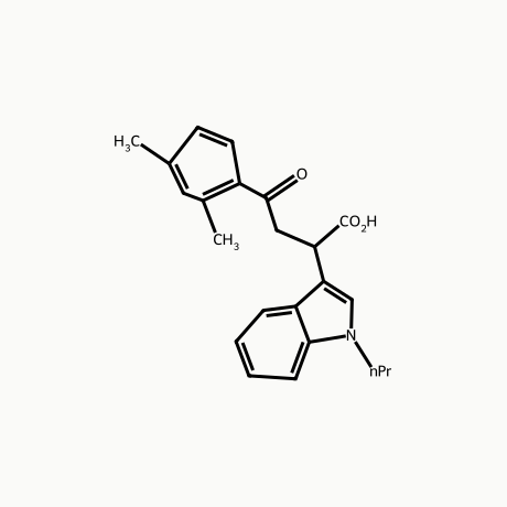 CCCn1cc(C(CC(=O)c2ccc(C)cc2C)C(=O)O)c2ccccc21